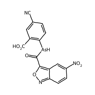 N#Cc1ccc([AsH]C(=O)c2onc3ccc([N+](=O)[O-])cc23)c(C(=O)O)c1